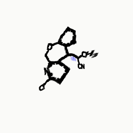 C/C(C#N)=C1\c2ccccc2OCc2nc(Cl)ccc21